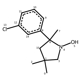 CC1(C)CN(O)C(C)(c2cccc(Cl)c2)C1